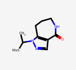 CSC(C)n1ncc2c1CCCNC2=O